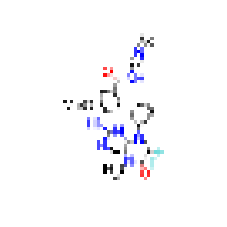 COc1cc(C(=O)NC2CN(C(C)=O)C2)ccc1Nc1ncc2c(n1)N(c1ccccc1)CC(F)(F)C(=O)N2C